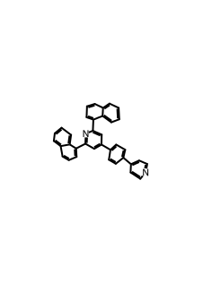 c1ccc2c(-c3cc(-c4ccc(-c5ccncc5)cc4)cc(-c4cccc5ccccc45)n3)cccc2c1